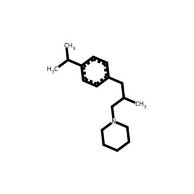 CC(Cc1ccc(C(C)C)cc1)CN1CCCCC1